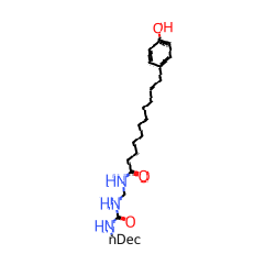 CCCCCCCCCCNC(=O)NCNC(=O)CCCCCCCCCCc1ccc(O)cc1